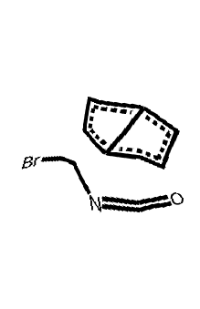 O=C=NCBr.c1cc2ccc1-2